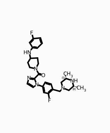 C[C@@H]1CN(Cc2ccc(-n3ccnc3C(=O)N3CCC(Nc4cccc(F)c4)CC3)cc2F)C[C@H](C)N1